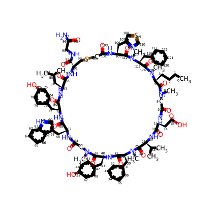 CCCC[C@H]1C(=O)N(C)CC(=O)N[C@@H](CC(=O)O)C(=O)N[C@@H](C(C)C)C(=O)N(C)[C@@H](Cc2ccccc2)C(=O)N[C@@H](Cc2ccc(O)cc2)C(=O)N(C)CC(=O)N[C@@H](Cc2c[nH]c3ccccc23)C(=O)N[C@@H](Cc2ccc(O)cc2)C(=O)N[C@@H](CC(C)C)C(=O)N[C@H](C(=O)NCC(N)=O)CSCC(=O)N[C@@H](Cc2cscn2)C(=O)N(C)[C@@H](Cc2ccccc2)C(=O)N1C